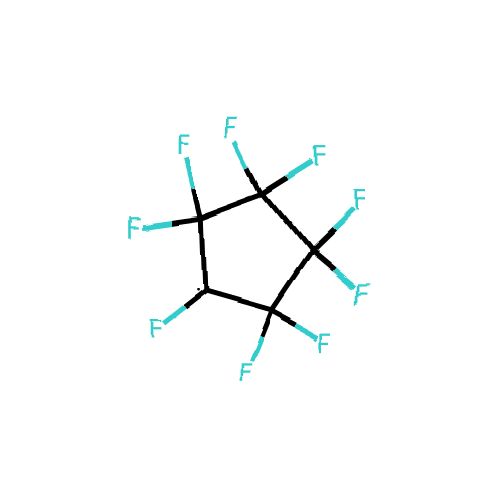 F[C]1C(F)(F)C(F)(F)C(F)(F)C1(F)F